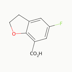 O=C(O)c1cc(F)cc2c1OCC2